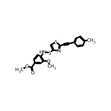 COC(=O)c1ccc(NSc2csc(C#Cc3ccc(C)cc3)n2)c(OC)c1